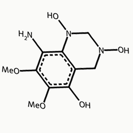 COc1c(N)c2c(c(O)c1OC)CN(O)CN2O